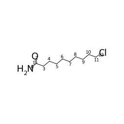 NC(=O)CCCCCCCCCCl